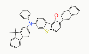 CC1(C)c2ccccc2-c2ccc(N(c3ccccc3)c3ccc4c(c3)sc3ccc5c6cc7ccccc7cc6oc5c34)cc21